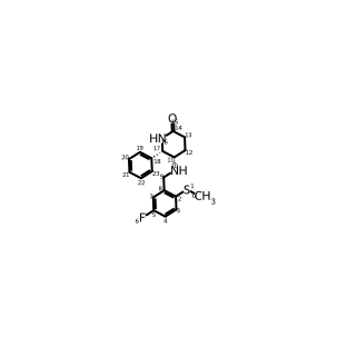 CSc1ccc(F)cc1CN[C@H]1CCC(=O)N[C@H]1c1ccccc1